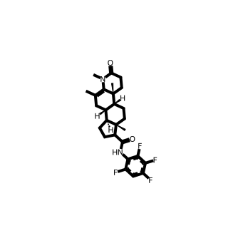 CC1=C2N(C)C(=O)CC[C@]2(C)[C@@H]2CC[C@]3(C)C(C(=O)Nc4c(F)cc(F)c(F)c4F)CC[C@H]3[C@@H]2C1